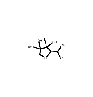 CC(=O)O[C@]1(O)CO[C@H](C(O)C(C)=O)[C@@]1(C)O